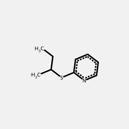 [CH2]C(CC)Sc1ccccn1